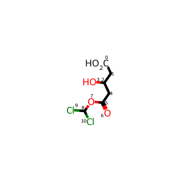 O=C(O)CC(O)CC(=O)OC(Cl)Cl